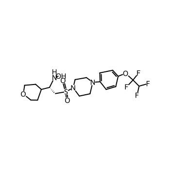 O=S(=O)(C[C@@H](NO)C1CCOCC1)N1CCN(c2ccc(OC(F)(F)C(F)F)cc2)CC1